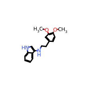 COc1ccc(CCNc2c[nH]c3ccccc23)cc1OC